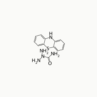 NC(=O)N(N)N.c1ccc2c(c1)Nc1ccccc1S2